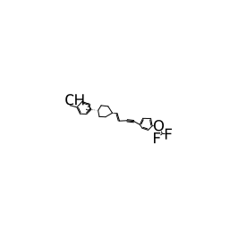 CCc1ccc([C@H]2CC[C@H](C=CC#Cc3ccc(OC(F)F)cc3)CC2)cc1